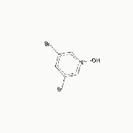 O[n+]1cc(Br)cc(Br)c1